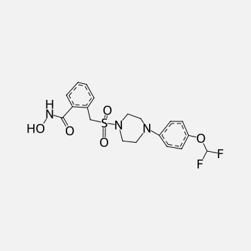 O=C(NO)c1ccccc1CS(=O)(=O)N1CCN(c2ccc(OC(F)F)cc2)CC1